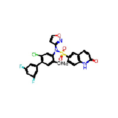 COc1cc(-c2cc(F)cc(F)c2)c(Cl)cc1N(c1ccon1)S(=O)(=O)c1ccc2[nH]c(=O)ccc2c1